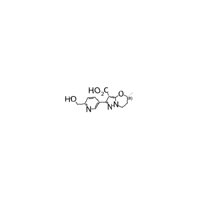 C[C@@H]1CCn2nc(-c3ccc(CO)nc3)c(C(=O)O)c2O1